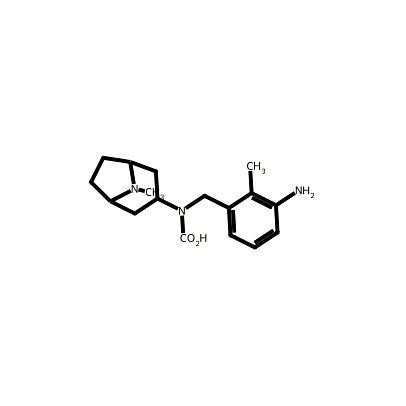 Cc1c(N)cccc1CN(C(=O)O)C1CC2CCC(C1)N2C